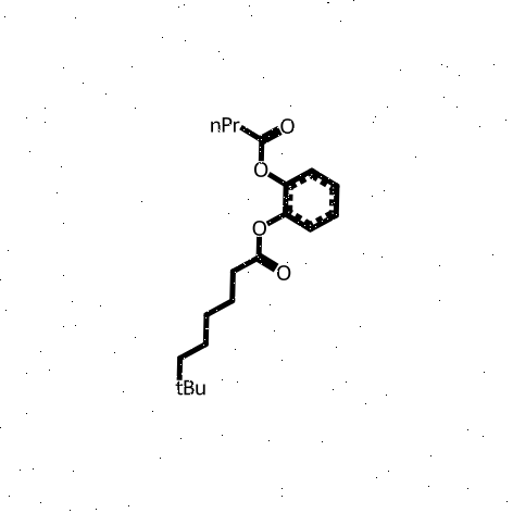 CCCC(=O)Oc1ccccc1OC(=O)CCCCCC(C)(C)C